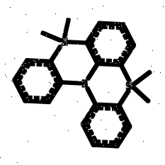 C[Si]1(C)c2ccccc2B2c3ccccc3[Si](C)(C)c3cccc1c32